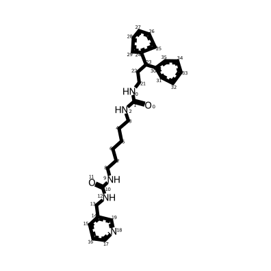 O=C(NCCCCCCNC(=O)NCc1cccnc1)NCCC(c1ccccc1)c1ccccc1